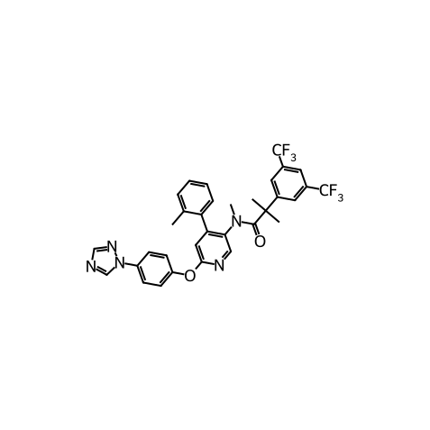 Cc1ccccc1-c1cc(Oc2ccc(-n3cncn3)cc2)ncc1N(C)C(=O)C(C)(C)c1cc(C(F)(F)F)cc(C(F)(F)F)c1